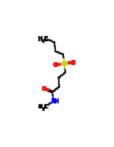 CCCCS(=O)(=O)CCCC(=O)NC